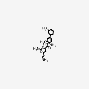 Cc1cccc(C2=CC(C)C(N)(NC(=O)C(CCCCN)OC(N)=O)C=C2)c1